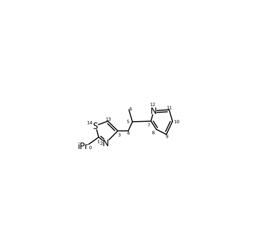 CC(C)c1nc(CC(C)c2ccccn2)cs1